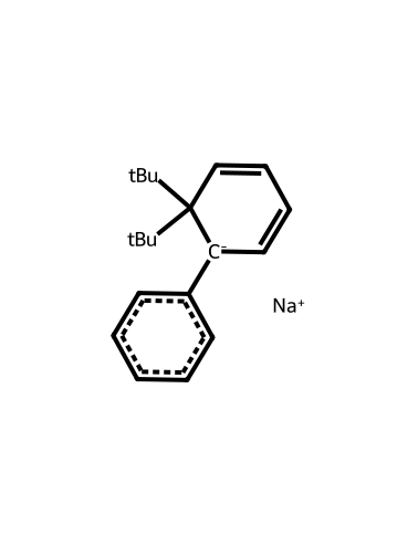 CC(C)(C)C1(C(C)(C)C)C=CC=C[C-]1c1ccccc1.[Na+]